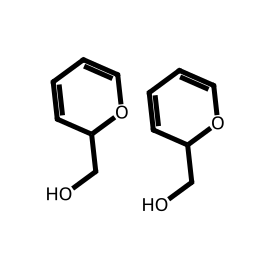 OCC1C=CC=CO1.OCC1C=CC=CO1